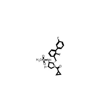 CS(=O)(=O)N[C@H]1[C@@H](F)CN(C(=O)C2CC2)[C@H]1Cc1cccc(-c2cccc(F)c2)c1F